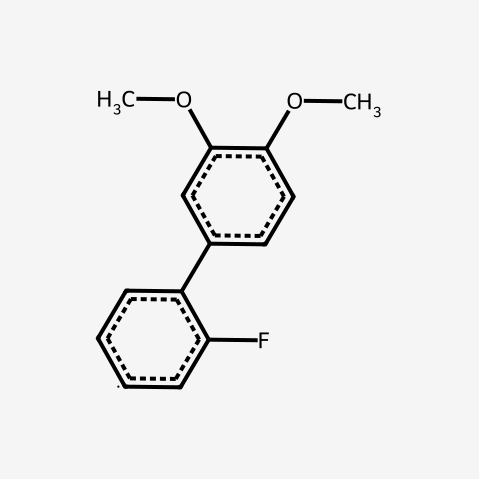 COc1ccc(-c2cc[c]cc2F)cc1OC